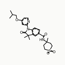 CC(C)COc1ccnc(N2C(=O)C(C)(C)c3cc(C(=O)NC4(C)CCS(=O)(=O)CC4)ccc32)c1